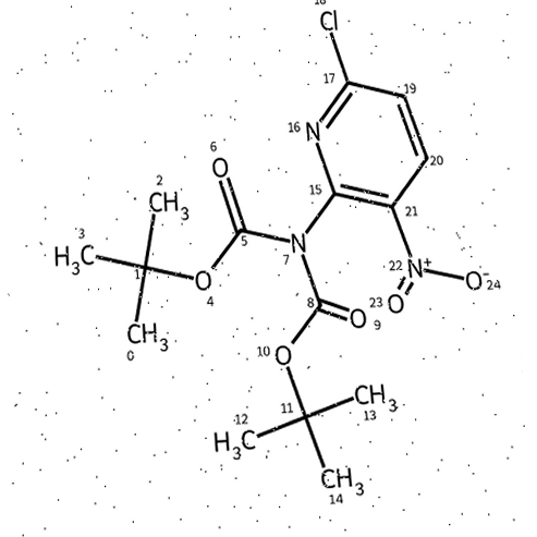 CC(C)(C)OC(=O)N(C(=O)OC(C)(C)C)c1nc(Cl)ccc1[N+](=O)[O-]